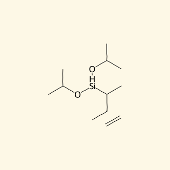 C=C.CCC(C)[SiH](OC(C)C)OC(C)C